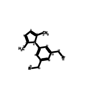 Cc1ccc(C)n1-c1cc(CBr)cc(CBr)c1